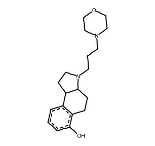 Oc1cccc2c1CCC1C2CCN1CCCN1CCOCC1